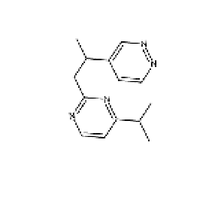 CC(C)c1ccnc(CC(C)c2ccnnc2)n1